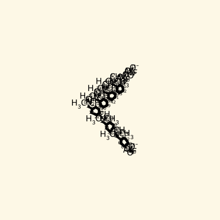 C[N+](C)(C)Cc1ccccc1.C[N+](C)(C)Cc1ccccc1.C[N+](C)(C)Cc1ccccc1.C[N+](C)(C)Cc1ccccc1.C[N+](C)(C)Cc1ccccc1.C[N+](C)(C)Cc1ccccc1.O=[As]([O-])([O-])F.O=[As]([O-])([O-])F.O=[As]([O-])([O-])F